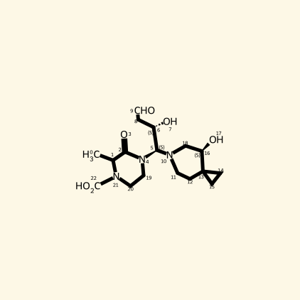 CC1C(=O)N([C@@H]([C@@H](O)CC=O)N2CCC3(CC3)[C@H](O)C2)CCN1C(=O)O